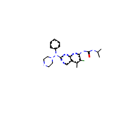 Cc1c(F)c(NC(=O)NC(C)C)nc2nc(N(c3ccccc3)N3CCNCC3)ncc12